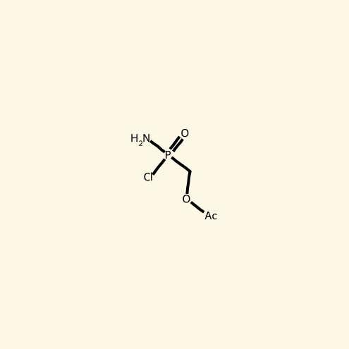 CC(=O)OCP(N)(=O)Cl